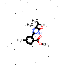 COC(=O)c1ccc(C)cc1C1=N[C@@](C)(C(C)C)C(=O)N1